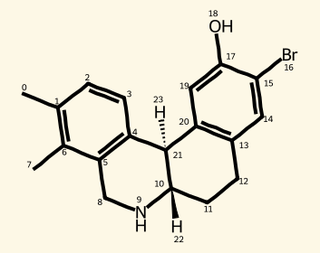 Cc1ccc2c(c1C)CN[C@H]1CCc3cc(Br)c(O)cc3[C@H]21